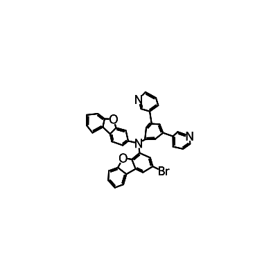 Brc1cc(N(c2cc(-c3cccnc3)cc(-c3cccnc3)c2)c2ccc3c(c2)oc2ccccc23)c2oc3ccccc3c2c1